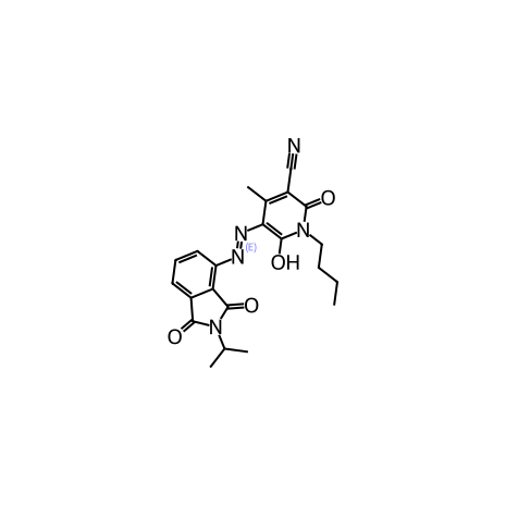 CCCCn1c(O)c(/N=N/c2cccc3c2C(=O)N(C(C)C)C3=O)c(C)c(C#N)c1=O